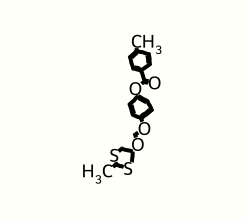 Cc1ccc(C(=O)Oc2ccc(OCOC3CSC(C)SC3)cc2)cc1